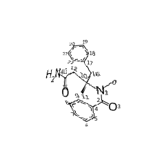 CN(C(=O)c1ccccc1)[C@](C)(CC(N)=O)Cc1ccccc1